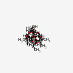 C=CCOC(=O)/C=N/[C@H](CC(C)C)C(=O)N[C@H]1C(=O)N[C@@H](CC(=O)NC(=O)NCCCCCCCC)C(=O)N[C@H]2C(=O)N[C@H]3C(=O)N[C@H](C(=O)N[C@H](C(=O)OCC=C)c4cc(OCC=C)cc(OCC=C)c4-c4cc3ccc4OCC=C)[C@H](O)c3ccc(c(Cl)c3)Oc3cc2cc(c3OC2OC(CO)C(O)C(O)C2O)Oc2ccc(cc2Cl)[C@H]1O